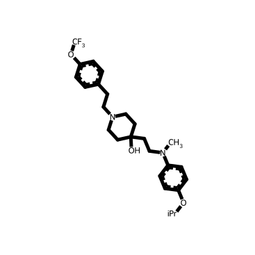 CC(C)Oc1ccc(N(C)CCC2(O)CCN(CCc3ccc(OC(F)(F)F)cc3)CC2)cc1